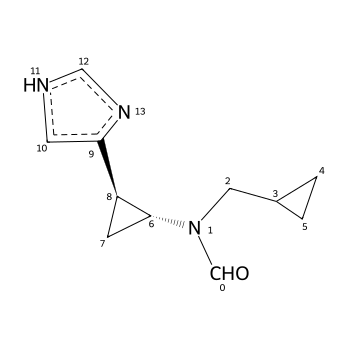 O=CN(CC1CC1)[C@@H]1C[C@H]1c1c[nH]cn1